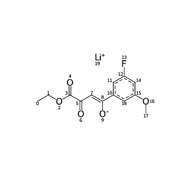 CCOC(=O)C(=O)C=C([O-])c1cc(F)cc(OC)c1.[Li+]